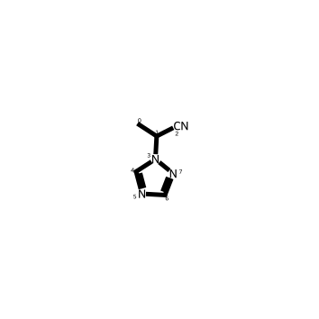 CC(C#N)n1cncn1